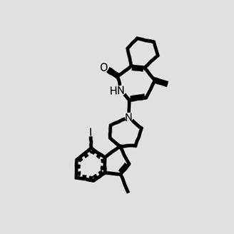 C=C1C=C(N2CCC3(C=C(C)c4cccc(I)c43)CC2)NC(=O)C2=C1CCCC2